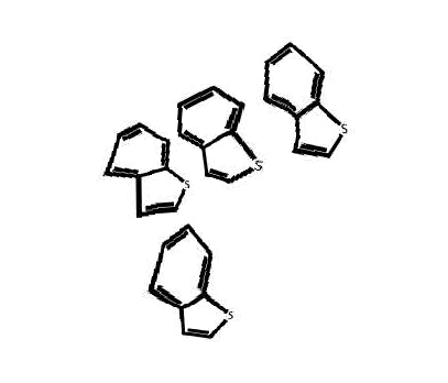 c1ccc2sccc2c1.c1ccc2sccc2c1.c1ccc2sccc2c1.c1ccc2sccc2c1